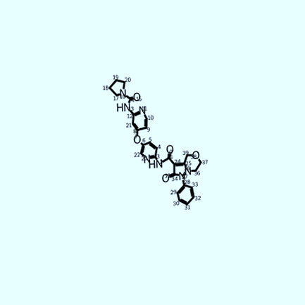 O=C(Nc1ccc(Oc2ccnc(NC(=O)N3CCCC3)c2)cn1)c1c2n(n(-c3ccccc3)c1=O)CCOC2